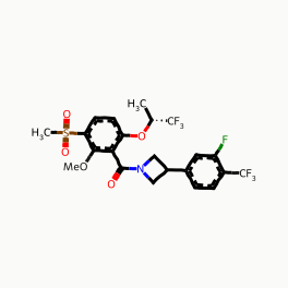 COc1c(S(C)(=O)=O)ccc(O[C@H](C)C(F)(F)F)c1C(=O)N1CC(c2ccc(C(F)(F)F)c(F)c2)C1